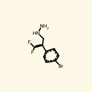 NNCC(=C(F)F)c1ccc(Br)cc1